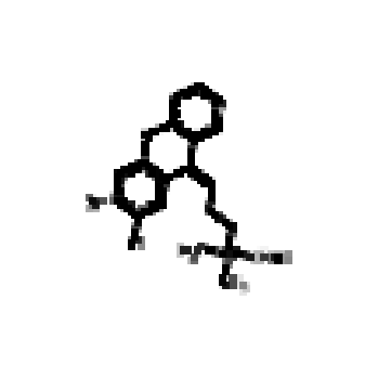 CCCCC[N+](C)(C)CC/C=C1/c2ccccc2Sc2ccc(Cl)cc21.[Br-]